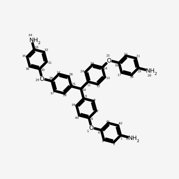 Nc1ccc(Oc2ccc(C(c3ccc(Oc4ccc(N)cc4)cc3)c3ccc(Oc4ccc(N)cc4)cc3)cc2)cc1